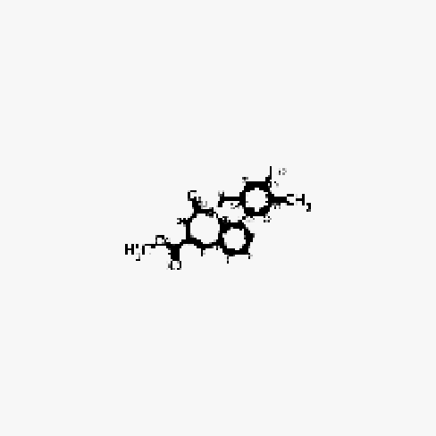 COC(=O)C1=Cc2ccccc2N(Cc2ccc(C)c(F)c2)C(=O)C1